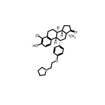 C[C@]12C[C@H](c3ccc(OCCN4CCCC4)cc3)[C@@H]3c4ccc(O)c(Cl)c4CC[C@H]3[C@@H]1CCC2=O